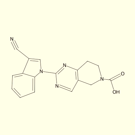 N#Cc1cn(-c2ncc3c(n2)CCN(C(=O)O)C3)c2ccccc12